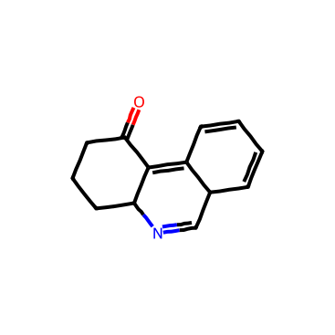 O=C1CCCC2N=CC3C=CC=CC3=C12